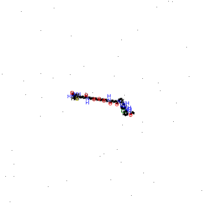 C=CC(=O)Nc1ccccc1Nc1nc(N[C@H]2CCCN(C(=O)CCCC(=O)NCCOCCOCCOCCCNC(=O)CCCC[C@@H]3SC[C@@H]4NC(=O)N[C@@H]43)C2)ncc1Cl